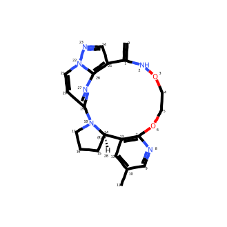 C=C1NOCCOc2ncc(C)cc2[C@H]2CCCN2c2ccn3ncc1c3n2